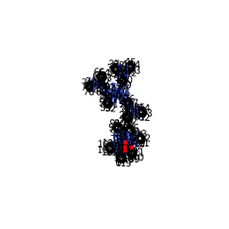 c1ccc(-c2ccc(-n3c4ccccc4c4cc(-c5ccc6c7cc(-c8nc(-c9ccc%10c(c9)c9ccccc9n%10-c9ccccc9)nc(-n9c%10ccccc%10c%10cc%11c(cc%109)c9ccccc9n%11-c9ccccc9)n8)ccc7n(-c7ccccc7)c6c5)c5c6ccccc6n(-c6nc(-c7ccccc7)nc(-c7ccccc7)n6)c5c43)cc2)cc1